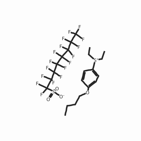 CCCCOc1ccc([S+](CC)CC)cc1.O=S(=O)([O-])C(F)(F)C(F)(F)C(F)(F)C(F)(F)C(F)(F)C(F)(F)C(F)(F)C(F)(F)F